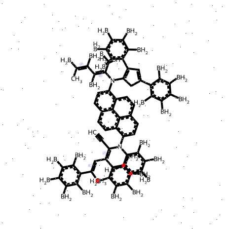 B=C(B)/C(=C(B)\C(B)=C(\B)C)N(C1=C(c2c(B)c(B)c(B)c(B)c2B)C=C(c2c(B)c(B)c(B)c(B)c2B)C1)c1ccc2ccc3c(N(/C(C#C)=C(/C=C(\C)c4c(B)c(B)c(B)c(B)c4B)c4c(B)c(B)c(B)c(B)c4B)c4c(B)cc(B)c(B)c4B)ccc4ccc1c2c43